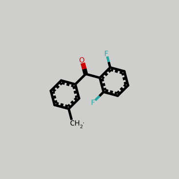 [CH2]c1cccc(C(=O)c2c(F)cccc2F)c1